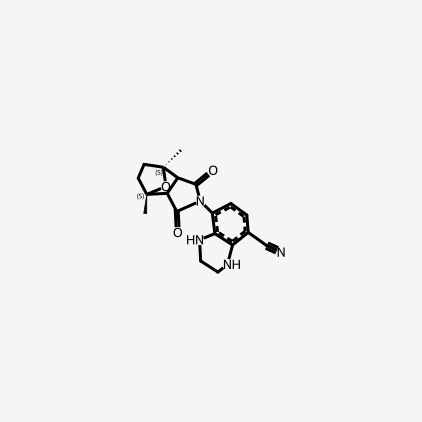 C[C@@]12CC[C@](C)(O1)C1C(=O)N(c3ccc(C#N)c4c3NCCN4)C(=O)C12